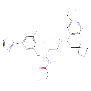 COCC(=O)N[C@@H](Cc1cc(F)cc(-c2nccs2)c1)[C@H](O)CN[C@H]1CC2(CCC2)Oc2ncc(CC(C)(C)C)cc21